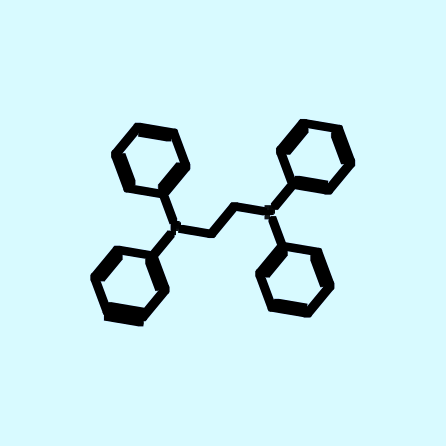 c1ccc(P(CCP(c2ccccc2)c2ccccc2)c2ccccc2)cc#1